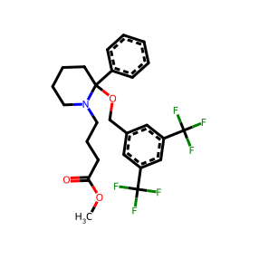 COC(=O)CCCN1CCCCC1(OCc1cc(C(F)(F)F)cc(C(F)(F)F)c1)c1ccccc1